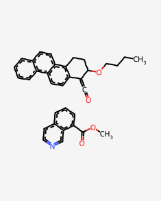 CCCCOC1CCc2c(ccc3c2ccc2ccccc23)C1=C=O.COC(=O)c1cccc2ccncc12